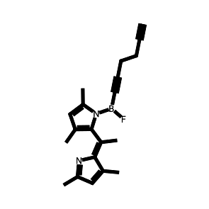 C#CCCC#CB(F)n1c(C)cc(C)c1/C(C)=C1\N=C(C)C=C1C